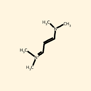 CN(C)/C=C/C=[N+](C)C